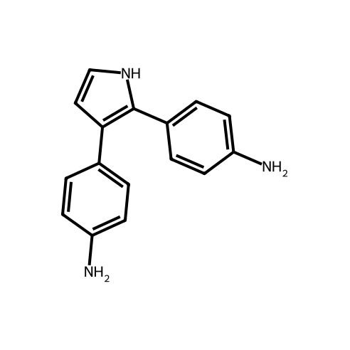 Nc1ccc(-c2cc[nH]c2-c2ccc(N)cc2)cc1